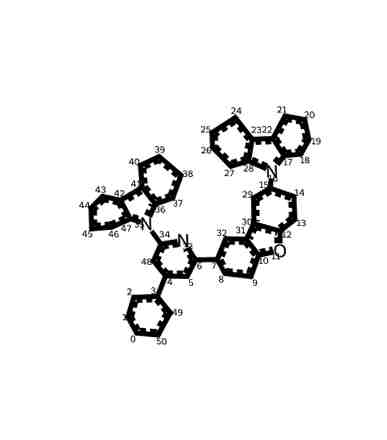 c1ccc(-c2cc(-c3ccc4oc5ccc(-n6c7ccccc7c7ccccc76)cc5c4c3)nc(-n3c4ccccc4c4ccccc43)c2)cc1